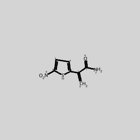 C=C(C(N)=O)c1ccc([N+](=O)[O-])s1